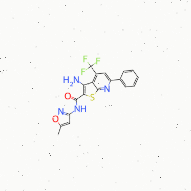 Cc1cc(NC(=O)c2sc3nc(-c4ccccc4)cc(C(F)(F)F)c3c2N)no1